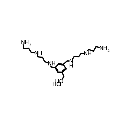 Cl.NCCCNCCCNCc1cc(CO)cc(CNCCCNCCCN)c1